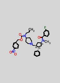 C=CCN(C(=O)OCc1ccc([N+](=O)[O-])cc1)C1CCN(C[C@H]2C[C@@H](N(C)C(=O)c3cccc(F)c3)C[C@@H]2c2ccccc2)CC1